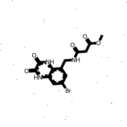 COC(=O)CC(=O)NCc1cc(Br)cc2[nH]c(=O)c(=O)[nH]c12